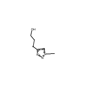 Cn1cc(CCCO)nn1